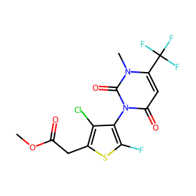 COC(=O)Cc1sc(F)c(-n2c(=O)cc(C(F)(F)F)n(C)c2=O)c1Cl